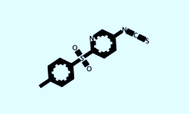 Cc1ccc(S(=O)(=O)c2ccc(N=C=S)cn2)cc1